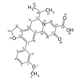 COc1cccc(-c2cc3c(c4c2OCC4)CC(C(C)C)n2cc(C(=O)O)c(=O)cc2-3)c1